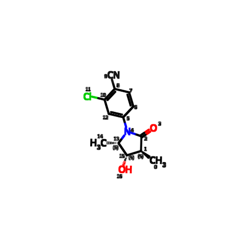 C[C@@H]1C(=O)N(c2ccc(C#N)c(Cl)c2)[C@@H](C)[C@H]1O